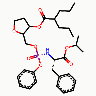 CCCC(CCC)C(=O)OC1CCOC1CO[P@@](=O)(N[C@@H](Cc1ccccc1)C(=O)OC(C)C)Oc1ccccc1